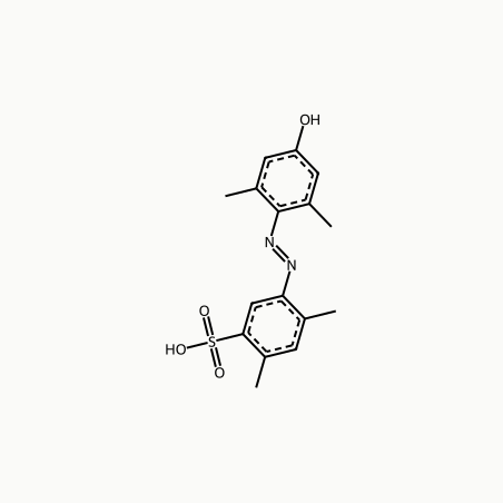 Cc1cc(C)c(S(=O)(=O)O)cc1N=Nc1c(C)cc(O)cc1C